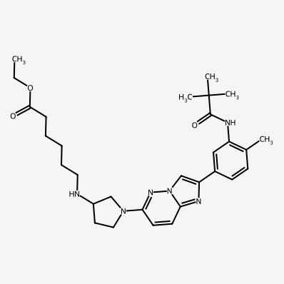 CCOC(=O)CCCCCNC1CCN(c2ccc3nc(-c4ccc(C)c(NC(=O)C(C)(C)C)c4)cn3n2)C1